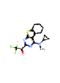 CN(c1nc(C(=O)C(F)(F)F)nc2sc3c(c12)CCCC3)C1CC1